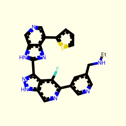 CCNCc1cncc(-c2ncc3[nH]nc(-c4nc5c(-c6cccs6)cncc5[nH]4)c3c2F)c1